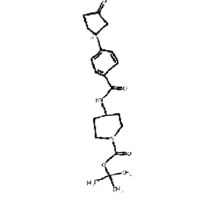 CC(C)(C)OC(=O)N1CCC(NC(=O)c2ccc([C@H]3CCC(=O)C3)cc2)CC1